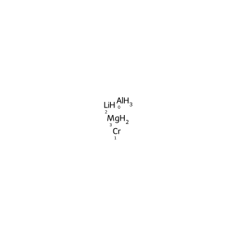 [AlH3].[Cr].[LiH].[MgH2]